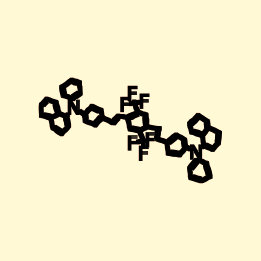 FC(F)(F)c1cc(C=Cc2ccc(N(c3ccccc3)c3cccc4ccccc34)cc2)c(C(F)(F)F)cc1C=Cc1ccc(N(c2ccccc2)c2cccc3ccccc23)cc1